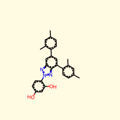 Cc1ccc(-c2cc(-c3ccc(C)cc3C)c3nn(-c4ccc(O)cc4O)nc3c2)c(C)c1